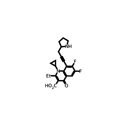 CCc1c(C(=O)O)c(=O)c2cc(F)c(F)c(C#CCC3CCCN3)c2n1C1CC1